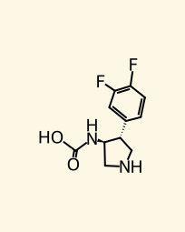 O=C(O)N[C@@H]1CNC[C@H]1c1ccc(F)c(F)c1